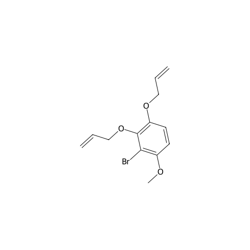 C=CCOc1ccc(OC)c(Br)c1OCC=C